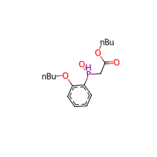 CCCCOC(=O)C[PH](=O)c1ccccc1OCCCC